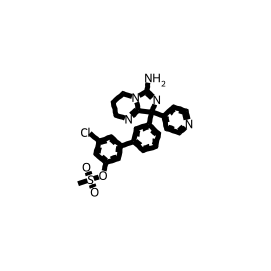 CS(=O)(=O)Oc1cc(Cl)cc(-c2cccc(C3(c4ccncc4)N=C(N)N4CCCN=C43)c2)c1